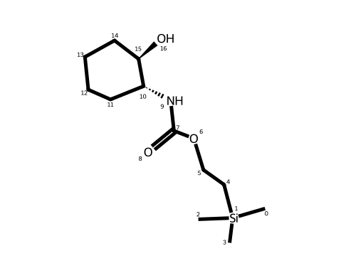 C[Si](C)(C)CCOC(=O)N[C@@H]1CCCC[C@H]1O